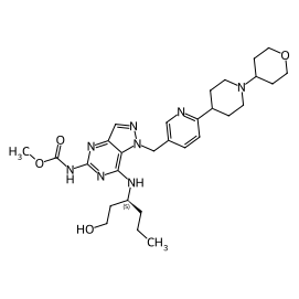 CCC[C@@H](CCO)Nc1nc(NC(=O)OC)nc2cnn(Cc3ccc(C4CCN(C5CCOCC5)CC4)nc3)c12